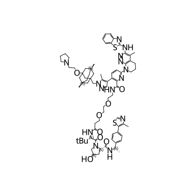 Cc1ncsc1-c1ccc([C@H](C)NC(=O)[C@@H]2C[C@@H](O)CN2C(=O)[C@@H](NC(=O)CCOCCOCCNC(=O)c2nc(N3CCCc4c3nnc(Nc3nc5ccccc5s3)c4C)ccc2-c2cnn(CC34CC5(OCCN6CCCC6)C[C@](C)(C3)C[C@](C)(C4)C5)c2C)C(C)(C)C)cc1